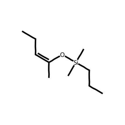 CCC=C(C)O[Si](C)(C)CCC